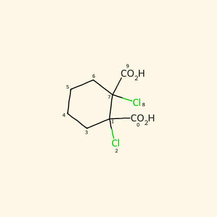 O=C(O)C1(Cl)CCCCC1(Cl)C(=O)O